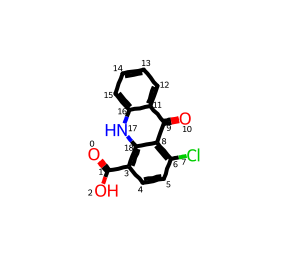 O=C(O)c1ccc(Cl)c2c(=O)c3ccccc3[nH]c12